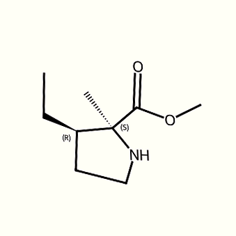 CC[C@@H]1CCN[C@]1(C)C(=O)OC